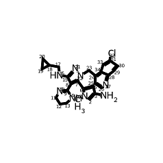 Cn1cc(N)cc1-c1c(C2=NCCCN2)c(NCC2CC2)nn1Cc1ccnc2ccc(Cl)cc12